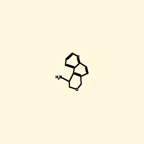 NC1COCc2ccc3ncccc3c21